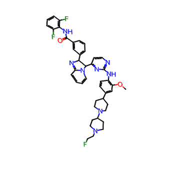 COc1cc(C2CCN(C3CCN(CCF)CC3)CC2)ccc1Nc1nccc(C2C(c3cccc(C(=O)Nc4c(F)cccc4F)c3)N=C3C=CC=CN32)n1